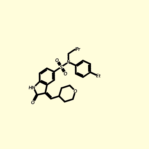 CCc1ccc(N(CC(C)C)S(=O)(=O)c2ccc3c(c2)/C(=C\C2CCOCC2)C(=O)N3)cc1